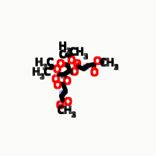 COC(=O)/C=C/C(=O)O[C@@H](C(=O)OC(C)C)[C@@H](OC(=O)/C=C/C(=O)OC)C(=O)OC(C)C